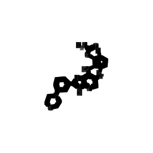 NC(=O)O[C@@H]1[C@H](Nc2c(Br)cnc3[nH]c(-c4cccc(N5CCOCC5)c4)nc23)[C@H]2C=C[C@@H]1C2